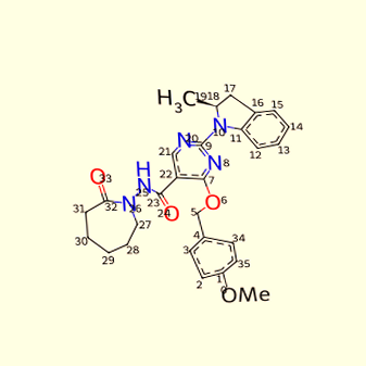 COc1ccc(COc2nc(N3c4ccccc4C[C@@H]3C)ncc2C(=O)NN2CCCCCC2=O)cc1